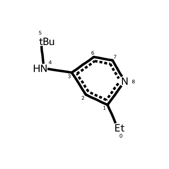 CCc1cc(NC(C)(C)C)ccn1